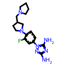 Nc1nc(N)n(-c2ccc(N3CCC(CN4CCCC4)C3)c(F)c2)n1